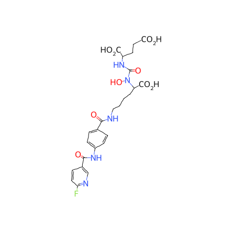 O=C(O)CCC(NC(=O)N(O)C(CCCCNC(=O)c1ccc(NC(=O)c2ccc(F)nc2)cc1)C(=O)O)C(=O)O